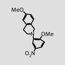 COc1ccc2c(c1)CCN(c1cc([N+](=O)[O-])ccc1OC)C2